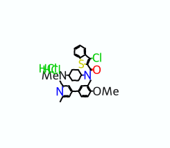 CNC1CCC(N(Cc2cc(-c3cc(C)nc(C)c3)ccc2OC)C(=O)c2sc3ccccc3c2Cl)CC1.Cl.Cl